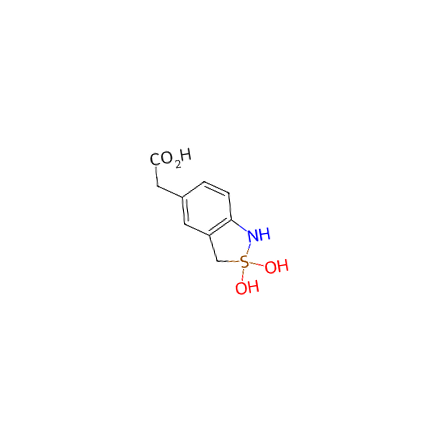 O=C(O)Cc1ccc2c(c1)CS(O)(O)N2